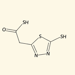 O=C(S)Cc1nnc(S)s1